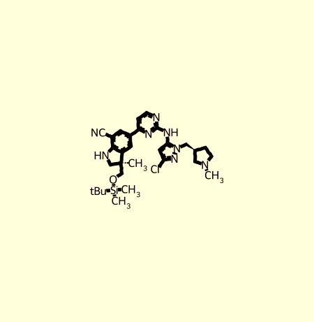 CN1CC[C@H](Cn2nc(Cl)cc2Nc2nccc(-c3cc(C#N)c4c(c3)[C@@](C)(CO[Si](C)(C)C(C)(C)C)CN4)n2)C1